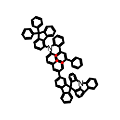 c1ccc(-c2cccc(-c3ccccc3N(c3ccc4cc(-c5ccc6c(c5)C5(c7ccccc7-6)c6ccccc6-n6c7ccccc7c7cccc5c76)ccc4c3)c3cccc4c3-c3ccccc3C4(c3ccccc3)c3ccccc3)c2)cc1